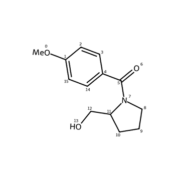 COc1ccc(C(=O)N2CCCC2CO)cc1